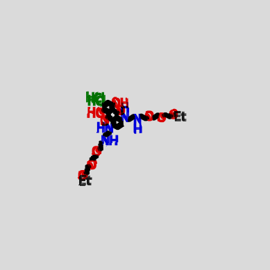 CCOCCOCCOCCNCCNc1ccc(NCCNCCOCCOCCOCC)c2c1C(=O)c1c(O)ccc(O)c1C2=O.Cl.Cl